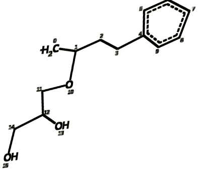 [CH2]C(CCc1ccccc1)OCC(O)CO